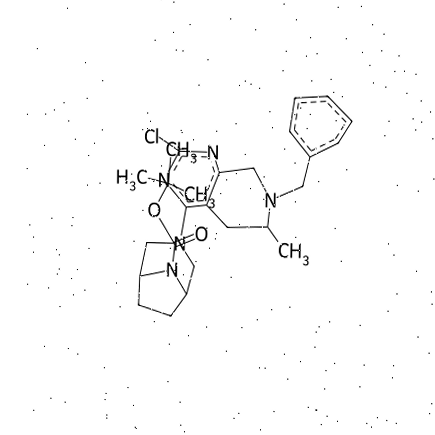 CC1Cc2c(nc(Cl)nc2N2CC3CCC(C2)N3C(=O)OC(C)(C)C)CN1Cc1ccccc1